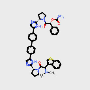 CN(C)C(C(=O)N1CCC[C@H]1c1ncc(-c2ccc(-c3ccc(-c4cnc([C@@H]5CCCN5C(=O)[C@H](OC(N)=O)c5ccccc5)[nH]4)cc3)cc2)[nH]1)c1csc2ccccc12